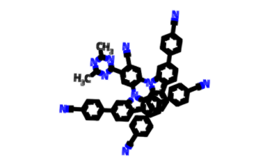 Cc1nc(C)nc(-c2cc(-n3c4cc(-c5ccc(C#N)cc5)ccc4c4ccc(-c5ccc(C#N)cc5)cc43)c(-n3c4cc(-c5ccc(C#N)cc5)ccc4c4ccc(-c5ccc(C#N)cc5)cc43)cc2C#N)n1